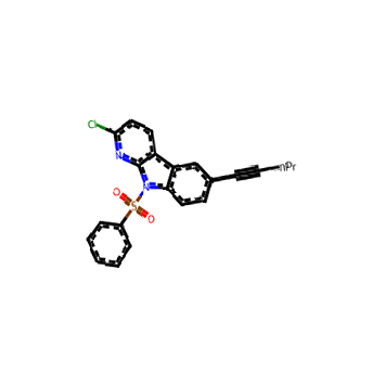 CCCC#Cc1ccc2c(c1)c1ccc(Cl)nc1n2S(=O)(=O)c1ccccc1